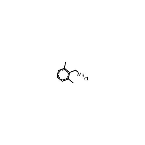 Cc1cccc(C)c1[CH2][Mg][Cl]